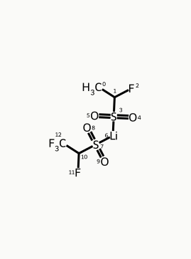 CC(F)[S](=O)(=O)[Li][S](=O)(=O)C(F)C(F)(F)F